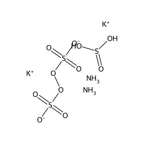 N.N.O=S(=O)([O-])OOS(=O)(=O)[O-].O=S(O)O.[K+].[K+]